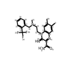 Cc1cc2nc(C(N)=O)c(=N)n(CCN(C)Cc3ccccc3C(F)(F)F)c2cc1C